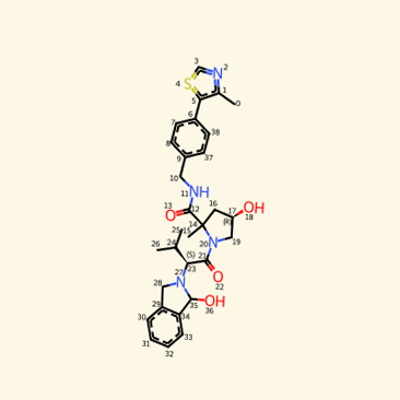 Cc1ncsc1-c1ccc(CNC(=O)C2(C)C[C@@H](O)CN2C(=O)[C@H](C(C)C)N2Cc3ccccc3C2O)cc1